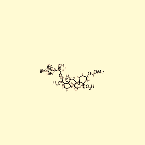 COCOC1CCC(C)(C2CCC3(C)C(CCC3C(C)COCC(C)CO[Si](C(C)C)(C(C)C)C(C)C)C2=O)C(C(=O)O)C1